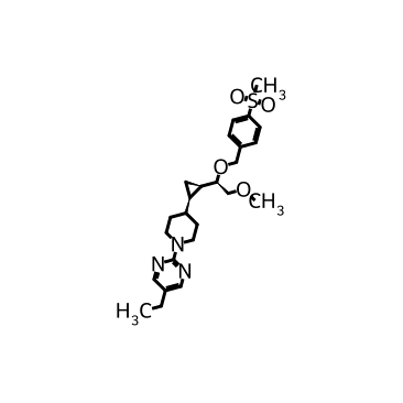 CCc1cnc(N2CCC([C@H]3C[C@H]3[C@H](COC)OCc3ccc(S(C)(=O)=O)cc3)CC2)nc1